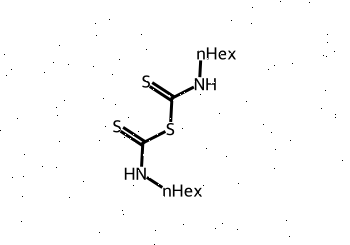 CCCCCCNC(=S)SC(=S)NCCCCCC